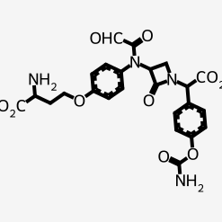 NC(=O)Oc1ccc(C(C(=O)O)N2CC(N(C(=O)C=O)c3ccc(OCCC(N)C(=O)O)cc3)C2=O)cc1